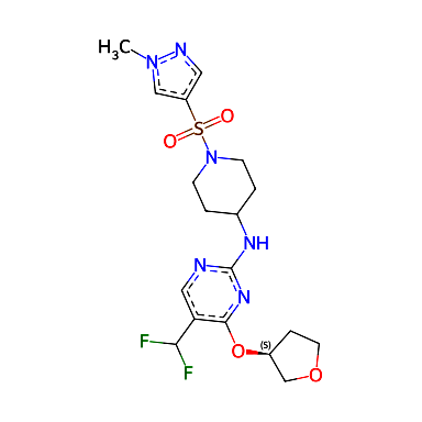 Cn1cc(S(=O)(=O)N2CCC(Nc3ncc(C(F)F)c(O[C@H]4CCOC4)n3)CC2)cn1